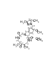 C.C.COc1ccc(CN2CC(=O)NC[C](C)C(=O)C(C)CNC(=O)C2)cc1Cn1nc(C)cc1C